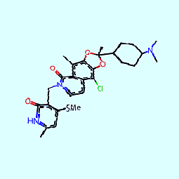 CSc1cc(C)[nH]c(=O)c1Cn1ccc2c(Cl)c3c(c(C)c2c1=O)O[C@](C)(C1CCC(N(C)C)CC1)O3